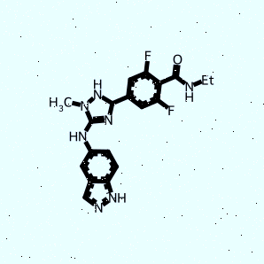 CCNC(=O)c1c(F)cc(C2N=C(Nc3ccc4[nH]ncc4c3)N(C)N2)cc1F